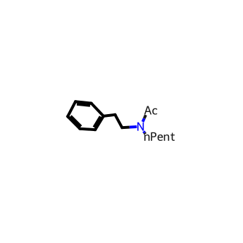 CCCCCN(CCc1ccccc1)C(C)=O